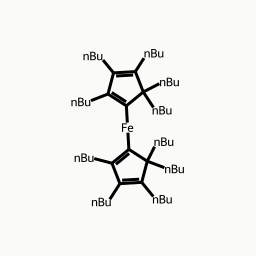 CCCCC1=C(CCCC)C(CCCC)(CCCC)[C]([Fe][C]2=C(CCCC)C(CCCC)=C(CCCC)C2(CCCC)CCCC)=C1CCCC